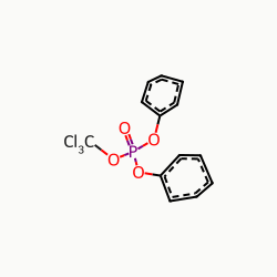 O=P(Oc1ccccc1)(Oc1ccccc1)OC(Cl)(Cl)Cl